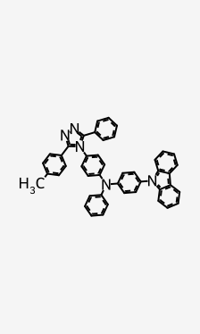 Cc1ccc(-c2nnc(-c3ccccc3)n2-c2ccc(N(c3ccccc3)c3ccc(-n4c5ccccc5c5ccccc54)cc3)cc2)cc1